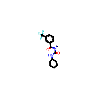 CN(C(=O)NC1CCCCC1)C(=O)c1cccc(C(F)(F)F)c1